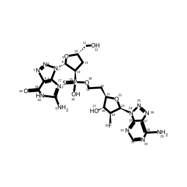 Nc1nc2c(nnn2[C@@H]2O[C@H](CO)C[C@H]2P(O)(=S)OCC[C@H]2O[C@@H](n3nnc4c(N)ncnc43)[C@@H](F)[C@@H]2O)c(=O)[nH]1